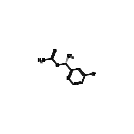 NC(=O)O[C@@H](c1cc(Br)ccn1)C(F)(F)F